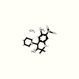 C.CC1(C)Oc2cc([N+](=O)[O-])c(N)cc2C(N2CCCCC2)C1O